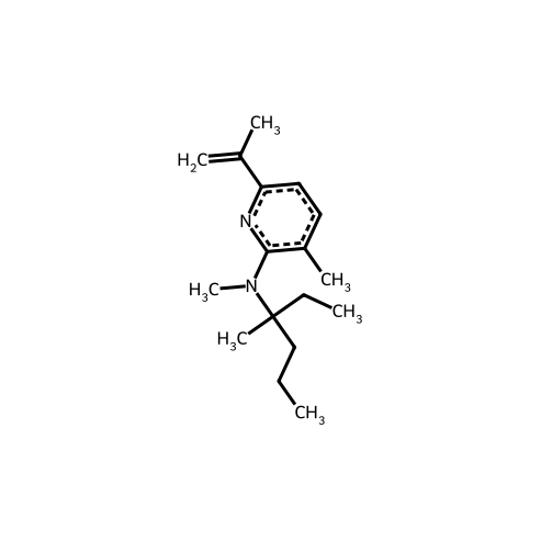 C=C(C)c1ccc(C)c(N(C)C(C)(CC)CCC)n1